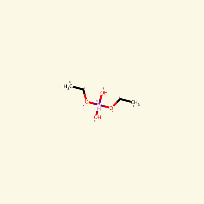 CCO[PH](O)(O)OCC